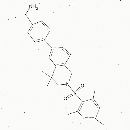 Cc1cc(C)c(S(=O)(=O)N2Cc3ccc(-c4ccc(CN)cc4)cc3C(C)(C)C2)c(C)c1